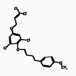 FC(F)(F)Oc1ccc(CCCCOc2c(Cl)cc(OCC=C(Cl)Cl)cc2Cl)cc1